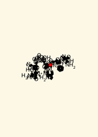 CCC1=C(N)c2ncn([C@@H]3O[C@H](COP(=O)(O)OP(=O)(O)OP(=O)(O)OC[C@H]4O[C@@H](n5c[n+](C)c6c(=O)[nH]c(N)nc65)[C@H](O)[C@@H]4CC(=O)N(C)C)[C@@H](OP(=O)([O-])OC[C@H]4O[C@@H](n5cnc6c(=O)[nH]c(N)nc65)[C@H](Oc5ccccc5)[C@@H]4O)[C@H]3OC)c2N=CC1